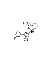 N#Cc1sc(NC(=O)[C@H]2CCCC[C@H]2C(=O)O)nc1-c1cccc(F)c1